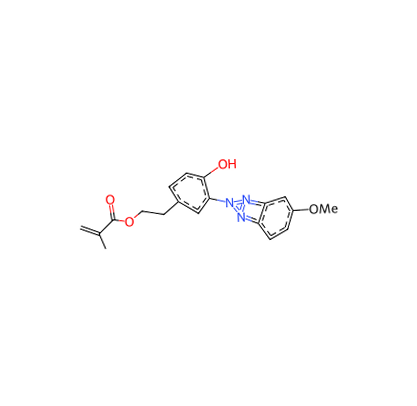 C=C(C)C(=O)OCCc1ccc(O)c(-n2n3c4ccc(OC)cc4n23)c1